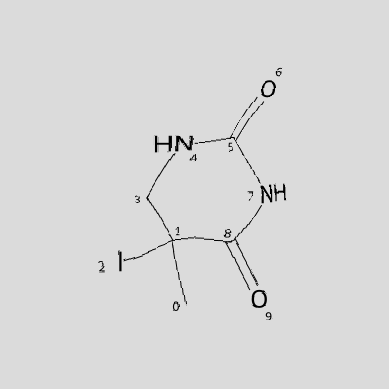 CC1(I)CNC(=O)NC1=O